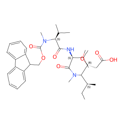 CC[C@H](C)C([C@@H](CC(=O)O)OC)N(C)C(=O)[C@@H](NC(=O)[C@H](C(C)C)N(C)C(=O)OCC1c2ccccc2-c2ccccc21)C(C)C